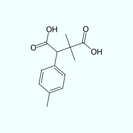 Cc1ccc(C(C(=O)O)C(C)(C)C(=O)O)cc1